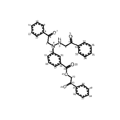 O=C(CNN(CC(=O)c1ccccc1)c1cccc(C(=O)OCC(=O)c2ccccc2)c1)c1ccccc1